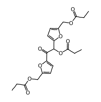 CCC(=O)OCc1ccc(C(=O)C(OC(=O)CC)c2ccc(COC(=O)CC)o2)o1